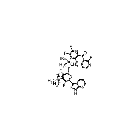 CC(C)(C)[Si](C)(C)c1c(F)c(F)nc(-c2n[nH]c3ncccc23)c1F.CC(C)(C)[Si](C)(C)c1c(F)c(F)nc(C(=O)c2cccnc2F)c1F